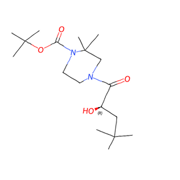 CC(C)(C)C[C@@H](O)C(=O)N1CCN(C(=O)OC(C)(C)C)C(C)(C)C1